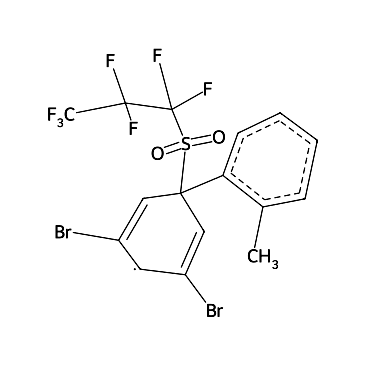 Cc1ccccc1C1(S(=O)(=O)C(F)(F)C(F)(F)C(F)(F)F)C=C(Br)[CH]C(Br)=C1